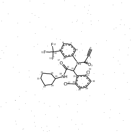 C#CC(=O)N(c1cccc(C(F)(F)F)c1)C(C(=O)NC1CCCCC1)c1c(Cl)cccc1Cl